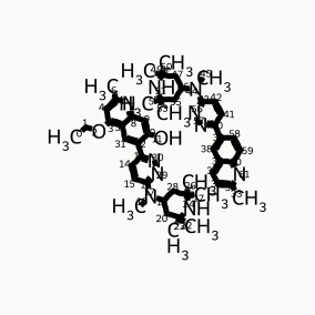 CCOc1cc(C)nc2cc(O)c(-c3ccc(N(C)C4CC(C)(C)NC(C)(C)C4)nn3)cc12.Cc1ccc2cc(-c3ccc(N(C)C4CC(C)(C)NC(C)(C)C4)nn3)ccc2n1